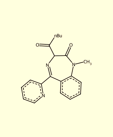 CCCCC(=O)C1N=C(c2ccccn2)c2ccccc2N(C)C1=O